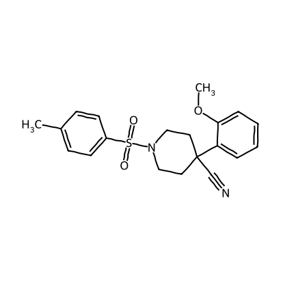 COc1ccccc1C1(C#N)CCN(S(=O)(=O)c2ccc(C)cc2)CC1